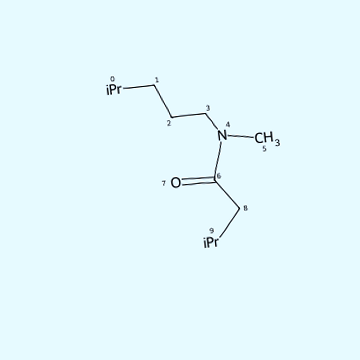 CC(C)CCCN(C)C(=O)CC(C)C